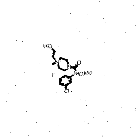 CON(C(=O)N1CC[N+](C)(CCO)CC1)c1cccc(Cl)c1.[I-]